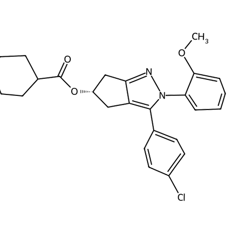 COc1ccccc1-n1nc2c(c1-c1ccc(Cl)cc1)C[C@H](OC(=O)C1CCCCC1)C2